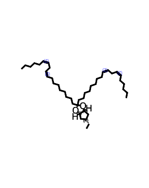 CCCCC/C=C\C/C=C\CCCCCCCCC1(CCCCCCCC/C=C\C/C=C\CCCCC)O[C@H]2C[C@@H](CC)C[C@H]2O1